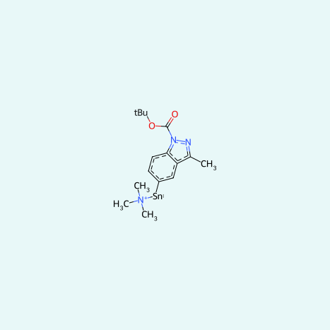 Cc1nn(C(=O)OC(C)(C)C)c2cc[c]([Sn][N+](C)(C)C)cc12